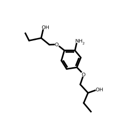 CCC(O)COc1ccc(OCC(O)CC)c(N)c1